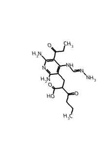 CCCC(=O)C(Cc1c(N)nc(N)c(C(=O)CC)c1NC=NN)C(=O)O